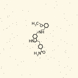 CCOc1ccccc1CCNCc1ccc2[nH]cc(Cc3ccc(C(N)=O)cc3)c2c1